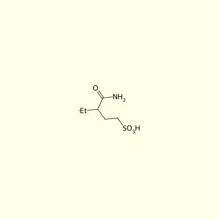 C[CH]C(CCS(=O)(=O)O)C(N)=O